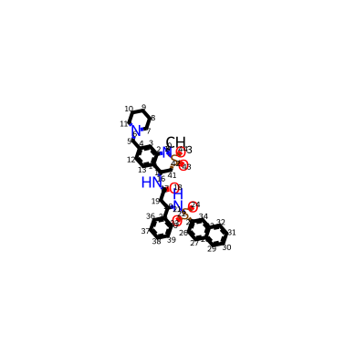 CN1c2cc(CN3CCCCC3)ccc2C(NC(=O)CC(NS(=O)(=O)c2ccc3ccccc3c2)c2ccccc2)CS1(=O)=O